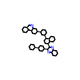 c1ccc(-c2ccc(-c3nc4ccccc4nc3-c3ccc(-c4cccc(-c5ccc6c(c5)ncc5ccccc56)c4)c4ccccc34)cc2)cc1